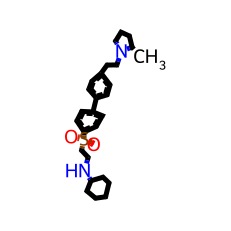 CC1CCCN1CCc1ccc(-c2ccc(S(=O)(=O)CCNC3CCCCC3)cc2)cc1